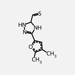 Cc1cc(C2=NNC(C=S)N2)oc1C